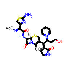 CC(=O)ON=C(C(=O)N[C@@H]1C(=O)N2C(C(=O)[O-])=C(C(=C3CCNC3=O)C(CCO)[n+]3ccccc3)CS[C@H]12)c1csc(N)n1